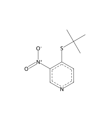 CC(C)(C)Sc1ccncc1[N+](=O)[O-]